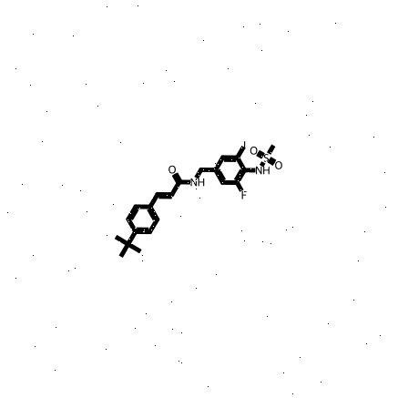 CC(C)(C)c1ccc(C=CC(=O)NCc2cc(F)c(NS(C)(=O)=O)c(I)c2)cc1